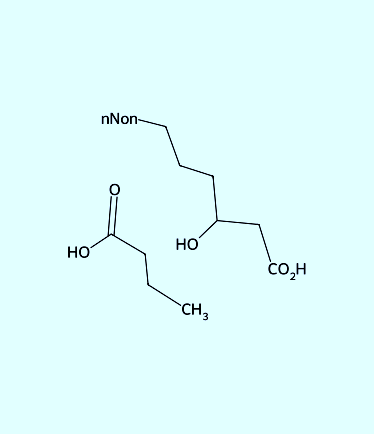 CCCC(=O)O.CCCCCCCCCCCCC(O)CC(=O)O